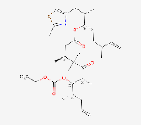 C=CC[C@H](C)[C@H](OC(=O)OCC(Cl)(Cl)Cl)[C@@H](C)C(=O)C(C)(C)[C@@H](C)CC(=O)O[C@@H](CCC(C)C=C)C(C)Cc1csc(C)n1